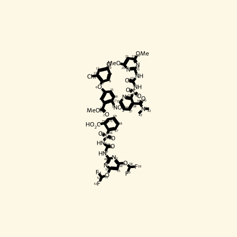 COC(=O)c1cc(Oc2ccc(Cl)cc2Cl)ccc1[N+](=O)[O-].COc1cc(OC)nc(NC(=O)NS(=O)(=O)c2ncccc2C(=O)N(C)C)n1.O=C(Nc1nc(OC(F)F)cc(OC(F)F)n1)NS(=O)(=O)c1ccccc1C(=O)O